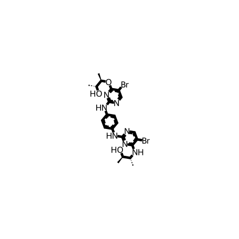 C[C@@H](O)[C@@H](C)Nc1nc(Nc2ccc(Nc3ncc(Br)c(O[C@H](C)[C@@H](C)O)n3)cc2)ncc1Br